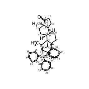 CC1CC(=O)C=C2CC[C@@H]3[C@@H](CC[C@]4(C)C(=O)CC[C@@H]34)[C@]21CO[Si](c1ccccc1)(c1ccccc1)c1ccccc1